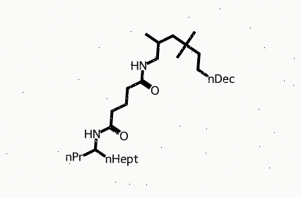 CCCCCCCCCCCCC(C)(C)CC(C)CNC(=O)CCCC(=O)NC(CCC)CCCCCCC